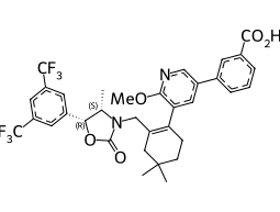 COc1ncc(-c2cccc(C(=O)O)c2)cc1C1=C(CN2C(=O)O[C@H](c3cc(C(F)(F)F)cc(C(F)(F)F)c3)[C@@H]2C)CC(C)(C)CC1